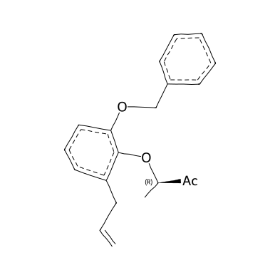 C=CCc1cccc(OCc2ccccc2)c1O[C@H](C)C(C)=O